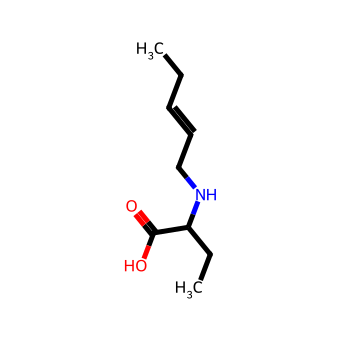 CCC=CCNC(CC)C(=O)O